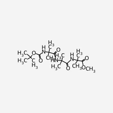 COC(=O)C(C)(C)NC(=O)C(C)(C)NC(=O)C(C)(C)NC(=O)OC(C)(C)C